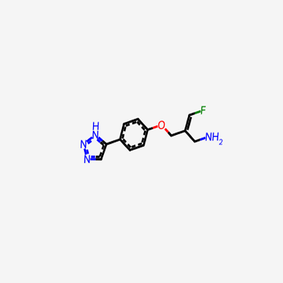 NCC(=CF)COc1ccc(-c2cnn[nH]2)cc1